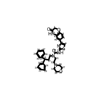 O=C1COc2ccc(-c3csc(NC(=O)N(CCC(c4ccccc4)c4ccccc4)CCN4CCOCC4)n3)cc2N1